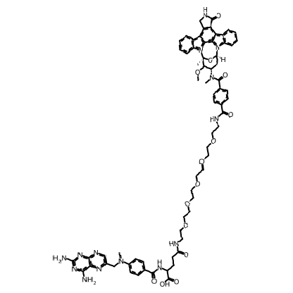 COC1[C@H](N(C)C(=O)c2ccc(C(=O)NCCOCCOCCOCCOCCOCCNC(=O)CCC(NC(=O)c3ccc(N(C)Cc4cnc5nc(N)nc(N)c5n4)cc3)C(=O)O)cc2)C[C@H]2O[C@]1(C)n1c3ccccc3c3c4c(c5c6ccccc6n2c5c31)C(=O)NC4